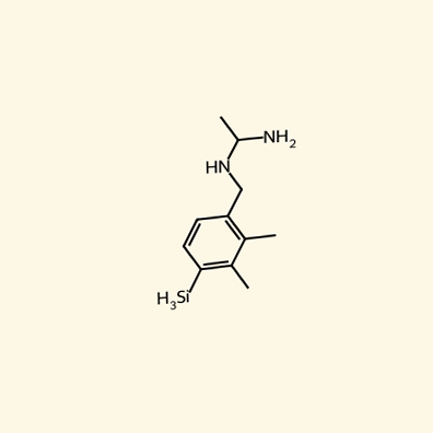 Cc1c([SiH3])ccc(CNC(C)N)c1C